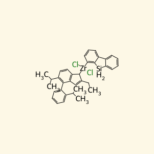 CCC1=Cc2c(ccc(C(C)C)c2-c2ccccc2C(C)C)[CH]1[Zr]([Cl])([Cl])[c]1cccc2c1[SiH2]c1ccccc1-2